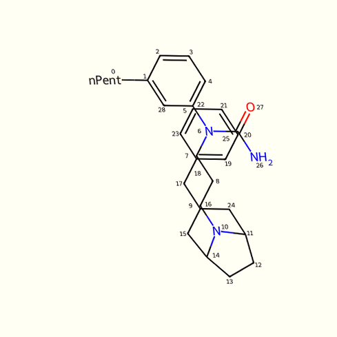 CCCCCc1cccc(N(CCCN2C3CCC2CC(Cc2ccccc2)C3)C(N)=O)c1